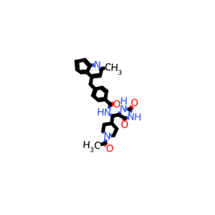 CC(=O)N1CCC(C(NC(=O)c2ccc(Cc3cc(C)nc4ccccc34)cc2)C2NC(=O)NC2=O)CC1